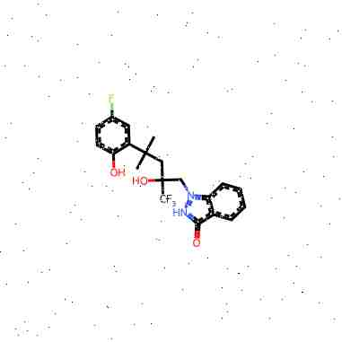 CC(C)(CC(O)(Cn1[nH]c(=O)c2ccccc21)C(F)(F)F)c1cc(F)ccc1O